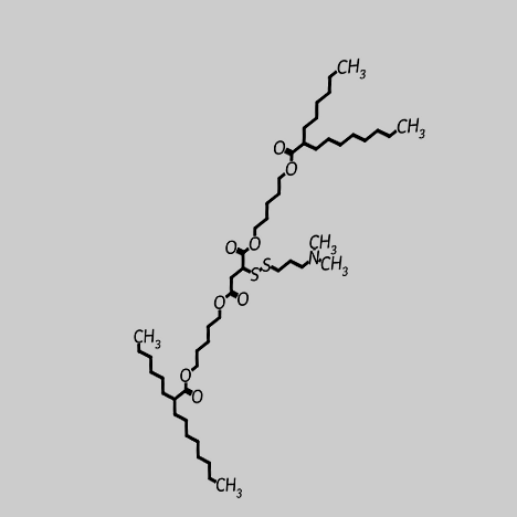 CCCCCCCCC(CCCCCC)C(=O)OCCCCCOC(=O)CC(SSCCCN(C)C)C(=O)OCCCCCOC(=O)C(CCCCCC)CCCCCCCC